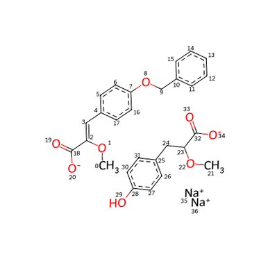 CO/C(=C\c1ccc(OCc2ccccc2)cc1)C(=O)[O-].COC(Cc1ccc(O)cc1)C(=O)[O-].[Na+].[Na+]